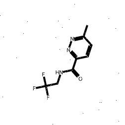 Cc1ccc(C(=O)NCC(F)(F)F)nn1